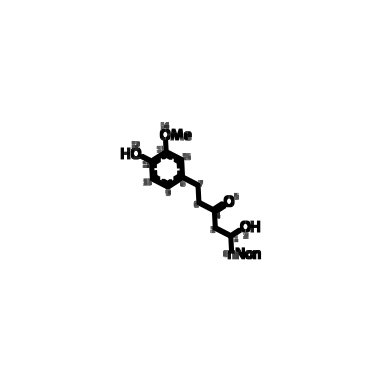 CCCCCCCCCC(O)CC(=O)CCc1ccc(O)c(OC)c1